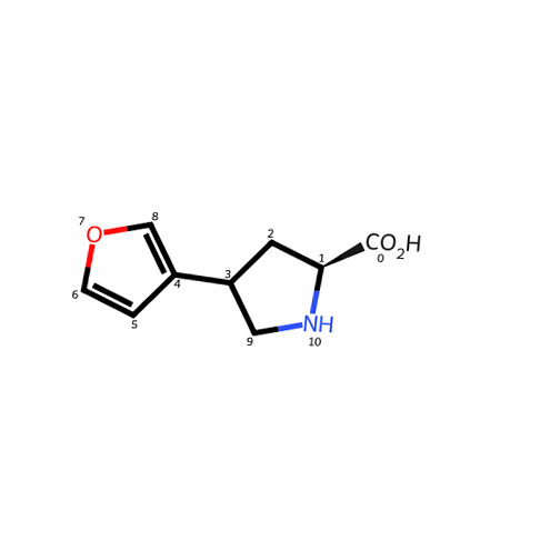 O=C(O)[C@@H]1CC(c2ccoc2)CN1